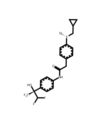 O=C(Cc1ccc([S@+]([O-])CC2CC2)cc1)Nc1ccc([C@@](O)(C(F)F)C(F)(F)F)cc1